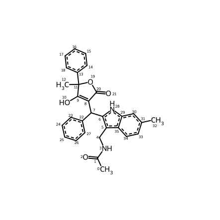 CC(=O)NCc1c(C(C2=C(O)C(C)(c3ccccc3)OC2=O)c2ccccc2)[nH]c2cc(C)ccc12